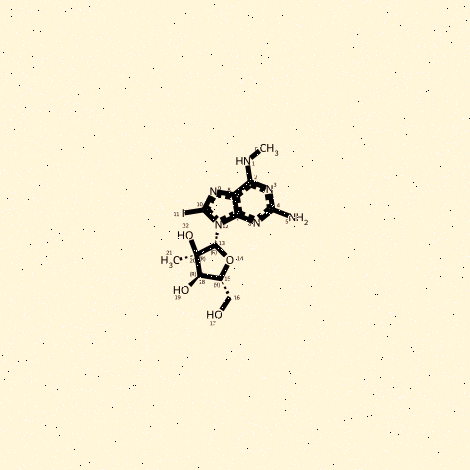 CNc1nc(N)nc2c1nc(I)n2[C@@H]1O[C@H](CO)[C@@H](O)[C@@]1(C)O